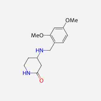 COc1ccc(CNC2CCNC(=O)C2)c(OC)c1